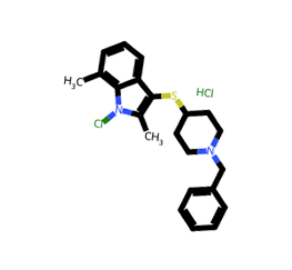 Cc1cccc2c(SC3CCN(Cc4ccccc4)CC3)c(C)n(Cl)c12.Cl